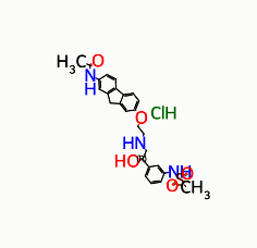 CC(=O)Nc1ccc2c(c1)Cc1cc(OCCNC[C@H](O)c3cccc(NS(C)(=O)=O)c3)ccc1-2.Cl